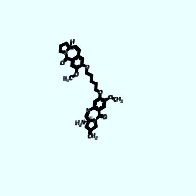 C=C1CN2C(=O)c3cc(OC)c(OCCCCCOc4cc5c(cc4OC)C(=O)N4CCC[C@H]4C=C5)cc3N=C[C@]2(N)C1